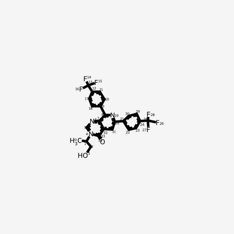 CC(CO)n1cnc2c(-c3ccc(C(F)(F)F)cc3)nc(-c3ccc(C(F)(F)F)cc3)cc2c1=O